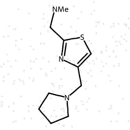 CNCc1nc(CN2CCCC2)cs1